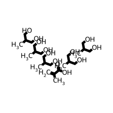 C=C(C)C(=O)O.CC(CO)CO.CC(CO)CO.CC(CO)CO.CC(CO)CO.CC(CO)CO